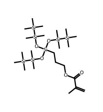 C=C(C)C(=O)OCCC[Si](O[Si](C)(C)[Si](C)(C)C)(O[Si](C)(C)[Si](C)(C)C)O[Si](C)(C)[Si](C)(C)C